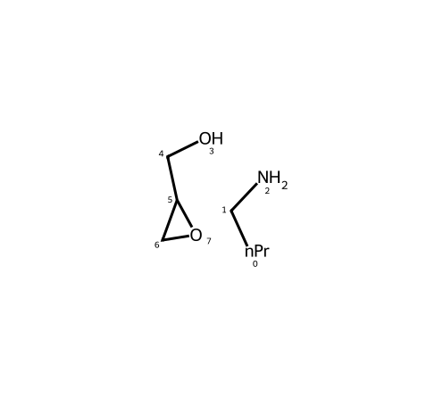 CCCCN.OCC1CO1